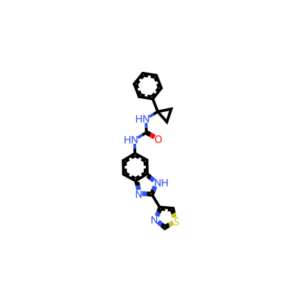 O=C(Nc1ccc2nc(-c3cscn3)[nH]c2c1)NC1(c2ccccc2)CC1